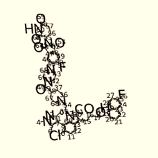 Cc1nn(C)c(C)c1-c1c(Cl)ccc2c(CCCOc3cccc4cc(F)ccc34)c(C(=O)O)n(CCN3CCC(C(=O)N4CCN(c5cc6c(cc5F)C(=O)N(C5CCC(=O)NC5=O)C6=O)CC4)CC3)c12